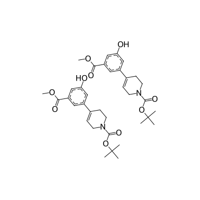 COC(=O)c1cc(O)cc(C2=CCN(C(=O)OC(C)(C)C)CC2)c1.COC(=O)c1cc(O)cc(C2=CCN(C(=O)OC(C)(C)C)CC2)c1